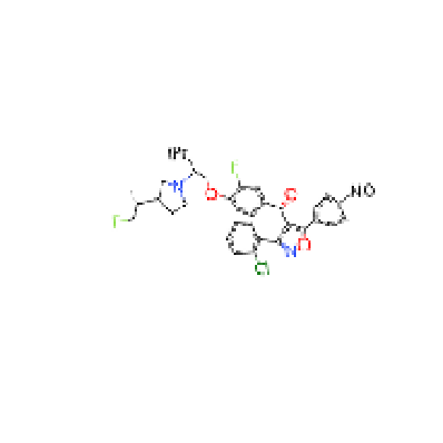 CC(C)C(COc1ccc(C(=O)c2c(-c3ccccc3Cl)noc2-c2ccc(N=O)cc2)cc1F)N1CCC([C@@H](C)CF)C1